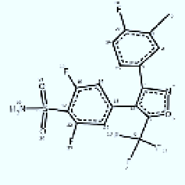 Cc1cc(-c2noc(C(F)(F)F)c2-c2cc(F)c(S(N)(=O)=O)c(F)c2)ccc1F